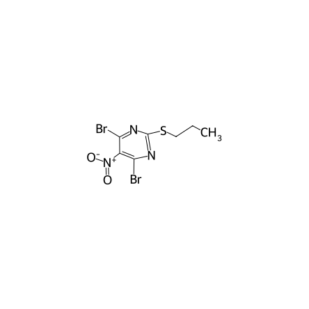 CCCSc1nc(Br)c([N+](=O)[O-])c(Br)n1